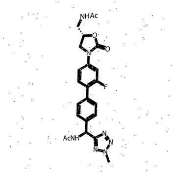 CC(=O)NC[C@H]1CN(c2ccc(-c3ccc(C(NC(C)=O)c4nnn(C)n4)cc3)c(F)c2)C(=O)O1